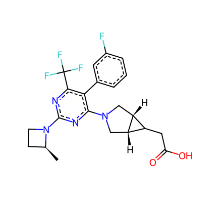 C[C@H]1CCN1c1nc(N2C[C@@H]3C(CC(=O)O)[C@@H]3C2)c(-c2cccc(F)c2)c(C(F)(F)F)n1